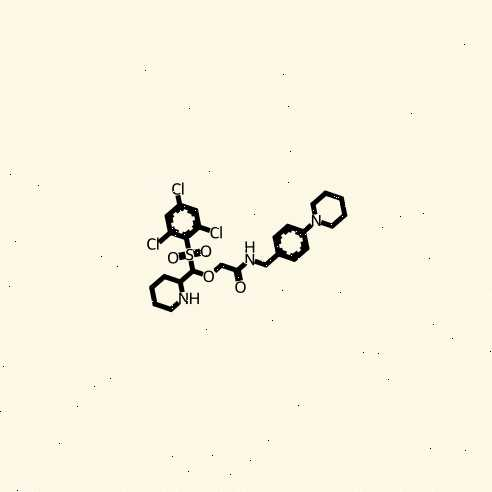 O=C(COC(C1CCCCN1)S(=O)(=O)c1c(Cl)cc(Cl)cc1Cl)NCc1ccc(N2CCCCC2)cc1